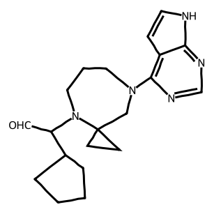 O=CC(C1CCCC1)N1CCCN(c2ncnc3[nH]ccc23)CC12CC2